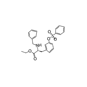 CCOC(=O)[C@H](Cc1cccc(OS(=O)(=O)c2ccccc2)c1)NCc1ccccc1